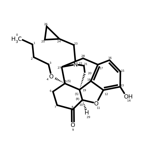 CCCCO[C@@]12CCC(=O)[C@@H]3Oc4c(O)ccc5c4[C@@]31CCN(CC1CC1)C2C5